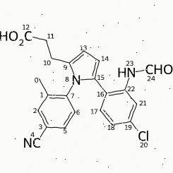 Cc1cc(C#N)ccc1-n1c(CCC(=O)O)ccc1-c1ccc(Cl)cc1NC=O